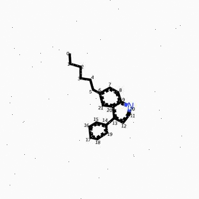 CCCCCCc1ccc2nccc(-c3ccccc3)c2c1